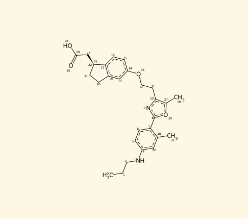 CCCNc1ccc(-c2nc(CCOc3ccc4c(c3)CC[C@H]4CC(=O)O)c(C)o2)c(C)c1